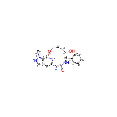 CCn1ncc2cc3nc(c21)OCCC[C@H](O)[C@H](c1ccccc1)NC(=O)N3